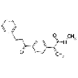 C=C(C(=O)OC)c1ccc(C(=O)C=Cc2ccccc2)cc1